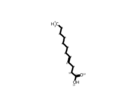 CCCCCCCC=CCCC(=O)O